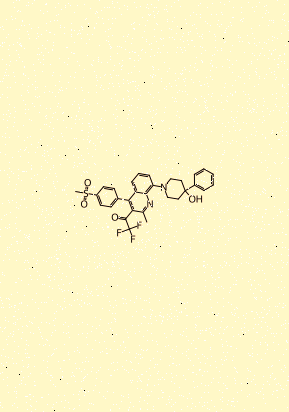 Cc1nc2c(N3CCC(O)(c4ccccc4)CC3)cccc2c(-c2ccc(S(C)(=O)=O)cc2)c1C(=O)C(F)(F)F